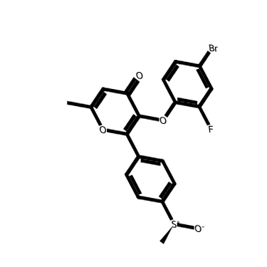 Cc1cc(=O)c(Oc2ccc(Br)cc2F)c(-c2ccc([S@+](C)[O-])cc2)o1